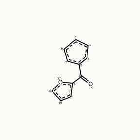 O=C(c1[c]cccc1)c1ccco1